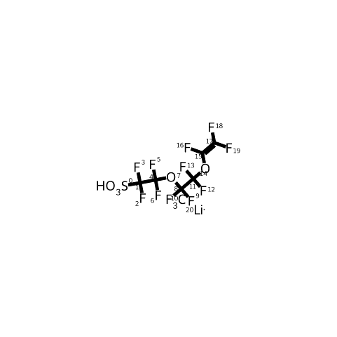 O=S(=O)(O)C(F)(F)C(F)(F)OC(F)(C(F)(F)F)C(F)(F)OC(F)=C(F)F.[Li]